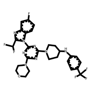 Fc1ccc2c(c1)nc(C(F)F)n2-c1nc(N2CCOCC2)nc(N2CCC(Nc3ccc(C(F)(F)F)cc3)CC2)n1